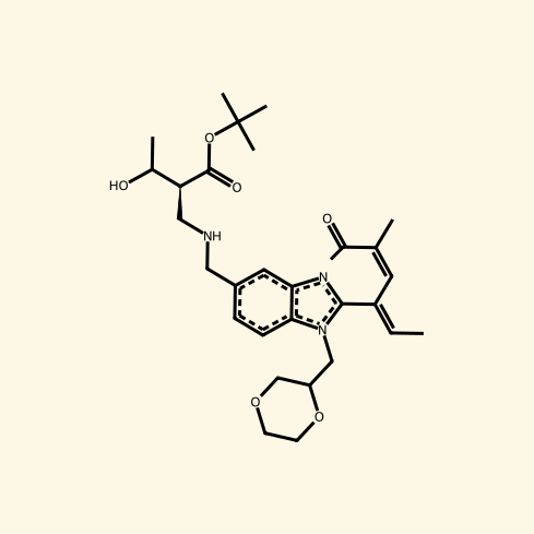 C/C=C(\C=C(\C)C(C)=O)c1nc2cc(CNC[C@H](C(=O)OC(C)(C)C)C(C)O)ccc2n1CC1COCCO1